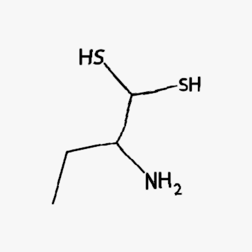 CCC(N)C(S)S